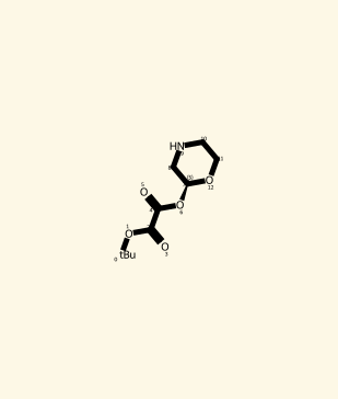 CC(C)(C)OC(=O)C(=O)O[C@H]1CNCCO1